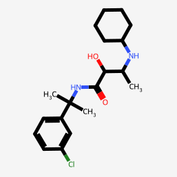 CC(NC1CCCCC1)C(O)C(=O)NC(C)(C)c1cccc(Cl)c1